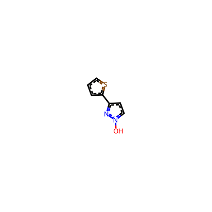 On1ccc(-c2cccs2)n1